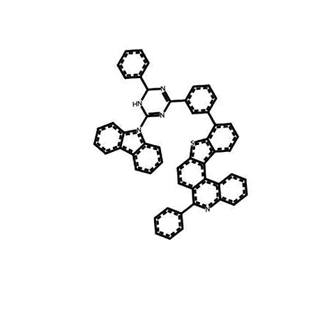 c1ccc(-c2nc3ccccc3c3c2ccc2sc4c(-c5cccc(C6=NC(c7ccccc7)NC(n7c8ccccc8c8ccccc87)=N6)c5)cccc4c23)cc1